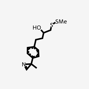 CSSCC(O)CCc1ccc(C2(C)C=N2)cc1